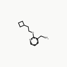 NCc1cccnc1OCCC1CCC1